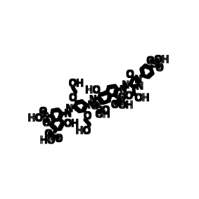 O=C(O)C1=NN(c2ccc(S(=O)(=O)O)cc2)C(=O)C1/N=N/c1ccc2c(O)c(/N=N/c3cc(OCCO)c(/N=N/c4ccc(S(=O)(=O)O)c5cc(S(=O)(=O)O)cc(O)c45)cc3OCCO)c(S(=O)(=O)O)cc2c1S(=O)(=O)O